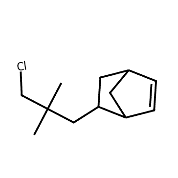 CC(C)(CCl)CC1CC2C=CC1C2